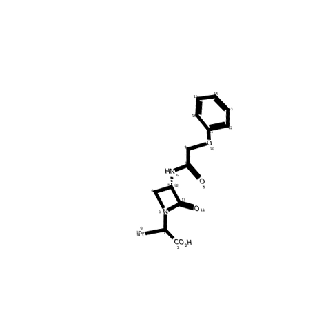 CC(C)C(C(=O)O)N1C[C@H](NC(=O)COc2ccccc2)C1=O